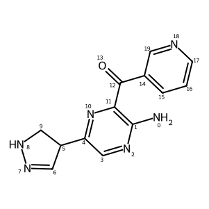 Nc1ncc(C2C=NNC2)nc1C(=O)c1cccnc1